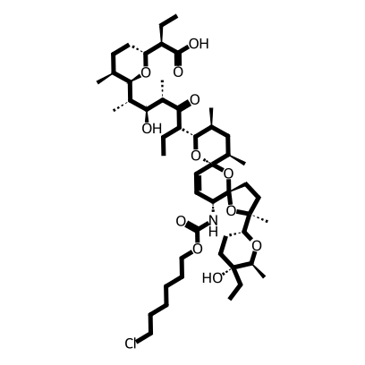 CCC(C(=O)[C@@H](C)[C@@H](O)[C@H](C)[C@@H]1O[C@@H]([C@@H](CC)C(=O)O)CC[C@@H]1C)[C@H]1O[C@]2(C=C[C@@H](NC(=O)OCCCCCCCl)[C@]3(CC[C@@](C)([C@H]4CC[C@](O)(CC)[C@H](C)O4)O3)O2)[C@H](C)C[C@@H]1C